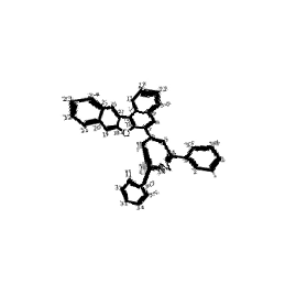 c1ccc(-c2cc(-c3cc4ccccc4c4c3oc3cc5ccccc5cc34)cc(-c3ccccc3)n2)cc1